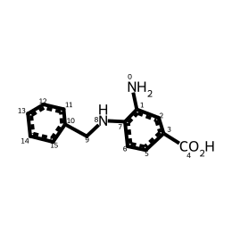 Nc1cc(C(=O)O)ccc1NCc1ccccc1